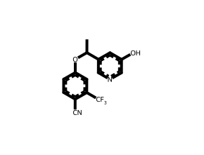 CC(Oc1ccc(C#N)c(C(F)(F)F)c1)c1cncc(O)c1